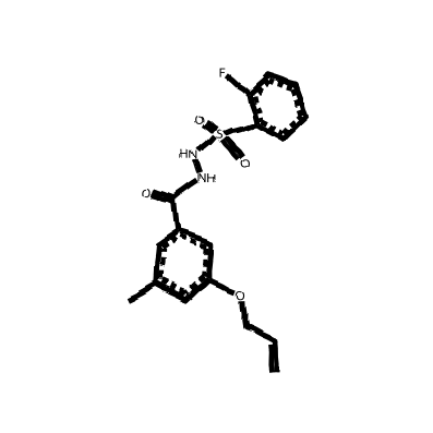 C=CCOc1cc(C)cc(C(=O)NNS(=O)(=O)c2ccccc2F)c1